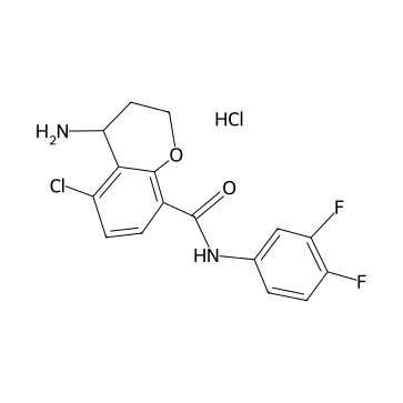 Cl.NC1CCOc2c(C(=O)Nc3ccc(F)c(F)c3)ccc(Cl)c21